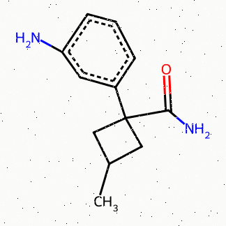 CC1CC(C(N)=O)(c2cccc(N)c2)C1